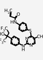 C=CC(=O)Nc1ccc(Sc2nc(Nc3ccc(C(O)(CC(F)(F)F)C(F)(F)F)cc3)ncc2C)cc1